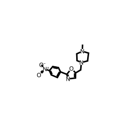 CN1CCN(Cc2cnc(-c3ccc([N+](=O)[O-])cc3)o2)CC1